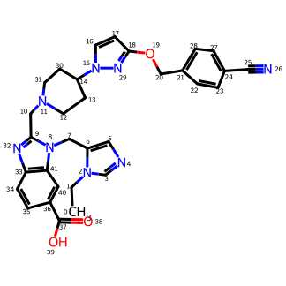 CCn1cncc1Cn1c(CN2CCC(n3ccc(OCc4ccc(C#N)cc4)n3)CC2)nc2ccc(C(=O)O)cc21